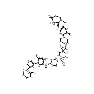 O=C1CCC(Nc2ccc(N3CCN(CC4(O)CCN(C(=O)[C@H]5CC[C@H](Nc6ncc(F)c(-c7cccc(N8CCCCC8=O)c7)n6)CC5)CC4)CC3)c(F)c2)C(=O)N1